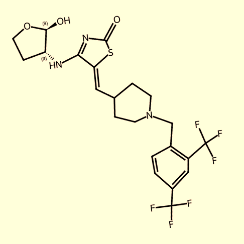 O=C1N=C(N[C@@H]2CCO[C@H]2O)C(=CC2CCN(Cc3ccc(C(F)(F)F)cc3C(F)(F)F)CC2)S1